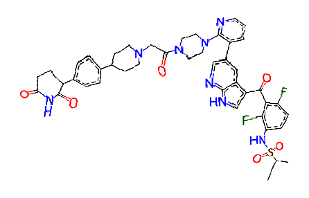 CC(C)S(=O)(=O)Nc1ccc(F)c(C(=O)c2c[nH]c3ncc(-c4cccnc4N4CCN(C(=O)CN5CCC(c6ccc(C7CCC(=O)NC7=O)cc6)CC5)CC4)cc23)c1F